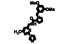 COc1cc(CN2CCCC2C(=O)NCc2cc(C)nc(-n3ccnc3)n2)cc(OC)c1